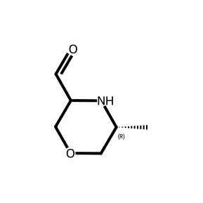 C[C@@H]1COCC(C=O)N1